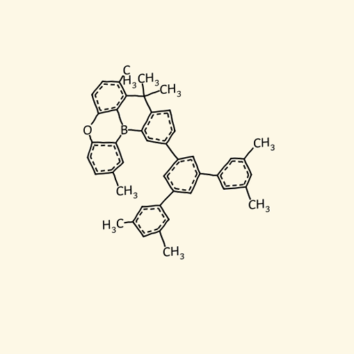 Cc1cc(C)cc(-c2cc(-c3cc(C)cc(C)c3)cc(-c3ccc4c(c3)B3c5cc(C)ccc5Oc5ccc(C)c(c53)C4(C)C)c2)c1